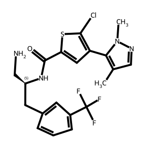 Cc1cnn(C)c1-c1cc(C(=O)N[C@H](CN)Cc2cccc(C(F)(F)F)c2)sc1Cl